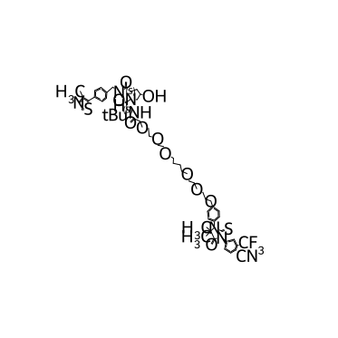 Cc1ncsc1-c1ccc(CNC(=O)[C@@H]2CC(O)CN2C(=O)[C@@H](NC(=O)COCCOCCOCCCCOCCOCCOc2ccc(N3C(=S)N(c4ccc(C#N)c(C(F)(F)F)c4)C(=O)C3(C)C)cc2)C(C)(C)C)cc1